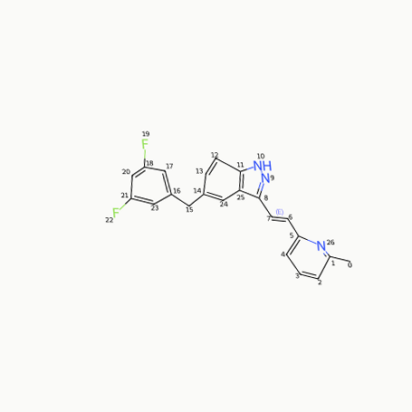 Cc1cccc(/C=C/c2n[nH]c3ccc(Cc4cc(F)cc(F)c4)cc23)n1